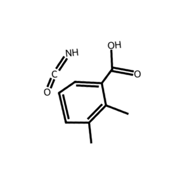 Cc1cccc(C(=O)O)c1C.N=C=O